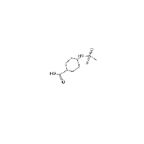 CS(=O)(=O)NC1CCC(C(=O)O)CC1